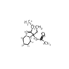 [CH2]OC(=O)C(CC)(OC(C)=O)C1CCCCC1